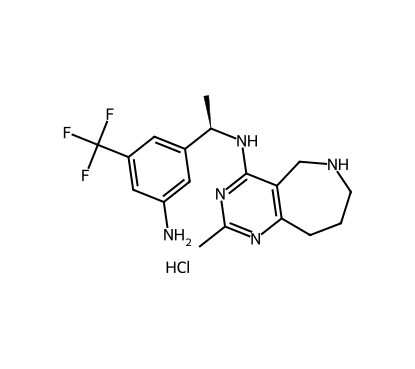 Cc1nc2c(c(N[C@H](C)c3cc(N)cc(C(F)(F)F)c3)n1)CNCCC2.Cl